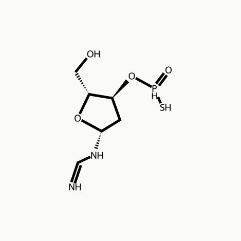 N=CN[C@H]1C[C@H](O[PH](=O)S)[C@@H](CO)O1